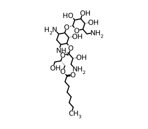 CCCCCCCC(=O)OC[C@H](CO)OC(OC1C(N)CC(N)C(O[C@H]2OC(CN)[C@@H](O)C(O)C2O)[C@@H]1O)[C@H](O)CN